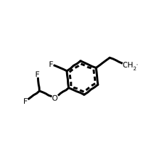 [CH2]Cc1ccc(OC(F)F)c(F)c1